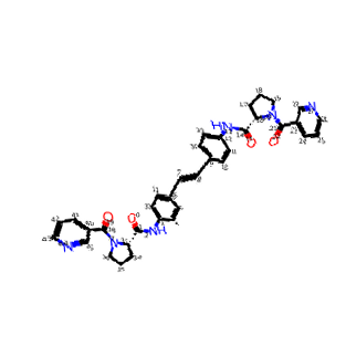 O=C(Nc1ccc(/C=C/c2ccc(NC(=O)[C@@H]3CCCN3C(=O)c3cccnc3)cc2)cc1)[C@@H]1CCCN1C(=O)c1cccnc1